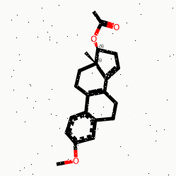 COc1ccc2c(c1)CCC1=C2CC[C@@]2(C)C1=CC[C@@H]2OC(C)=O